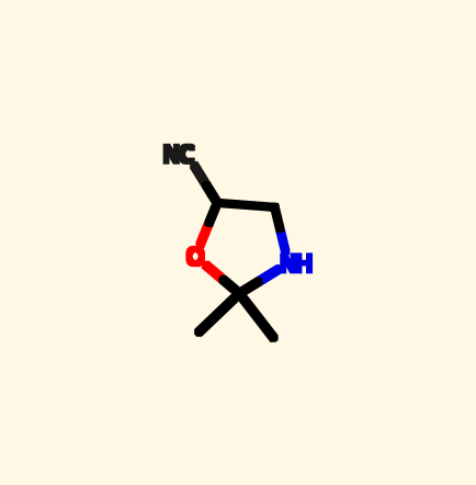 CC1(C)NCC(C#N)O1